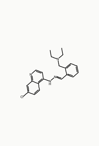 CCN(CC)Cc1ccccc1C=NNc1ccnc2cc(Cl)ccc12